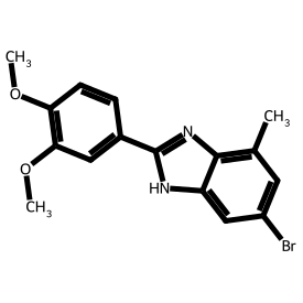 COc1ccc(-c2nc3c(C)cc(Br)cc3[nH]2)cc1OC